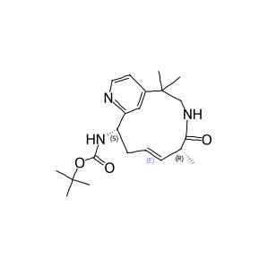 C[C@@H]1/C=C/C[C@H](NC(=O)OC(C)(C)C)c2cc(ccn2)C(C)(C)CNC1=O